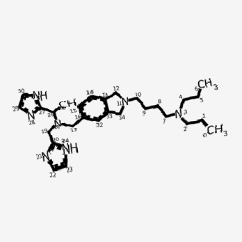 CCCN(CCC)CCCCN1Cc2ccc(CN(Cc3ncc[nH]3)C(C)c3ncc[nH]3)cc2C1